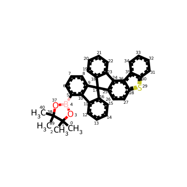 CC1(C)OB(c2cccc3c2-c2ccccc2C32c3ccccc3-c3c2ccc2sc4ccccc4c32)OC1(C)C